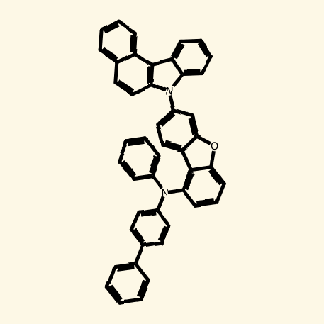 c1ccc(-c2ccc(N(c3ccccc3)c3cccc4oc5cc(-n6c7ccccc7c7c8ccccc8ccc76)ccc5c34)cc2)cc1